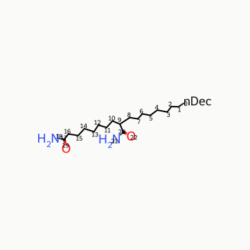 CCCCCCCCCCCCCCCCCCC(CCCCCCCC(N)=O)C(N)=O